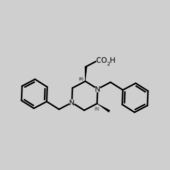 C[C@H]1CN(Cc2ccccc2)C[C@@H](CC(=O)O)N1Cc1ccccc1